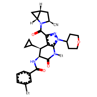 CCc1cccc(C(=O)N[C@@H]2C(=O)N(CC)c3c(c(C(=O)N4[C@H](C#N)C[C@H]5C[C@H]54)nn3C3CCOCC3)[C@@H]2C2CC2)c1